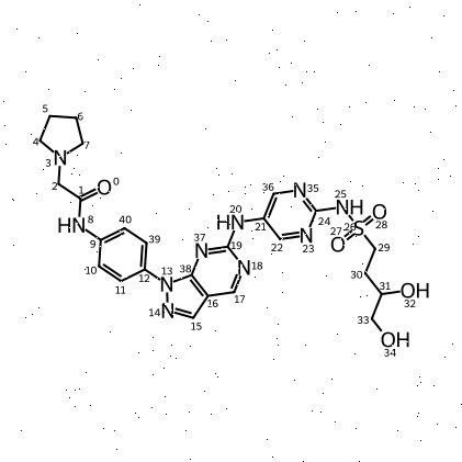 O=C(CN1CCCC1)Nc1ccc(-n2ncc3cnc(Nc4cnc(NS(=O)(=O)CCC(O)CO)nc4)nc32)cc1